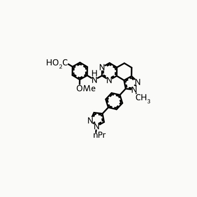 CCCn1cc(-c2ccc(-c3c4c(nn3C)CCc3cnc(Nc5ccc(C(=O)O)cc5OC)nc3-4)cc2)cn1